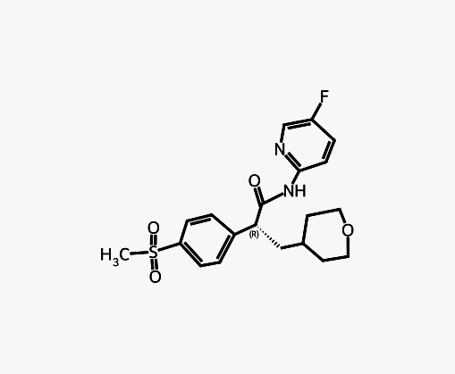 CS(=O)(=O)c1ccc([C@@H](CC2CCOCC2)C(=O)Nc2ccc(F)cn2)cc1